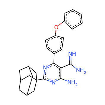 N=C(N)c1c(N)nc(C23CC4CC(CC(C4)C2)C3)nc1-c1ccc(Oc2ccccc2)cc1